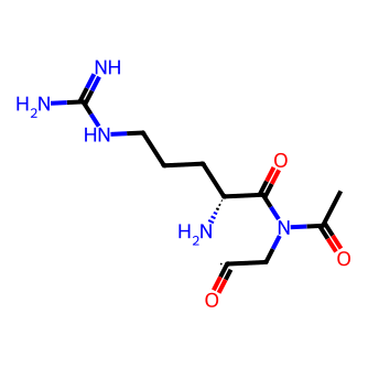 CC(=O)N(C[C]=O)C(=O)[C@H](N)CCCNC(=N)N